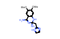 COc1cc2c(cc1OC)C(N)=NC(N)(Cc1ncc[nH]1)N2